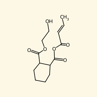 CC=CC(=O)OC(=O)C1CCCCC1C(=O)OCCO